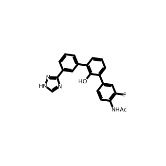 CC(=O)Nc1ccc(-c2cccc(-c3cccc(-c4nc[nH]n4)c3)c2O)cc1F